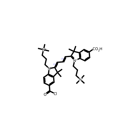 CC1(C)C(/C=C/C=C2/N(CCC[N+](C)(C)C)c3ccc(C(=O)Cl)cc3C2(C)C)=[N+](CCC[N+](C)(C)C)c2ccc(C(=O)O)cc21